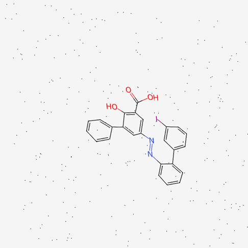 O=C(O)c1cc(N=Nc2ccccc2-c2cccc(I)c2)cc(-c2ccccc2)c1O